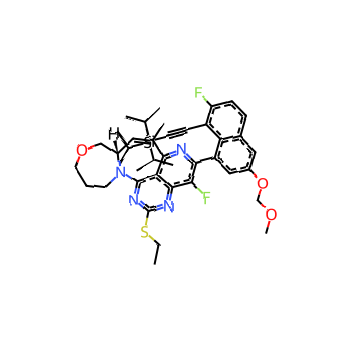 CCSc1nc2c3c(nc(-c4cc(OCOC)cc5ccc(F)c(C#C[Si](C(C)C)(C(C)C)C(C)C)c45)c(F)c3n1)C(C)=C[C@H]1COCCCN21